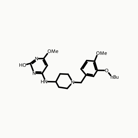 CCCCOc1cc(CN2CCC(Nc3cc(OC)nc(O)n3)CC2)ccc1OC